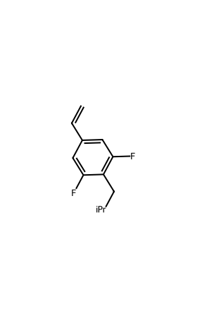 C=Cc1cc(F)c(CC(C)C)c(F)c1